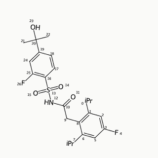 CC(C)c1cc(F)cc(C(C)C)c1CC(=O)NS(=O)(=O)c1ccc(C(C)(C)O)cc1F